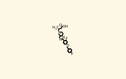 CC(CC(=O)O)CN1CCc2nc(-c3ccc(OCc4ccc(F)cc4)cc3F)ncc2C1